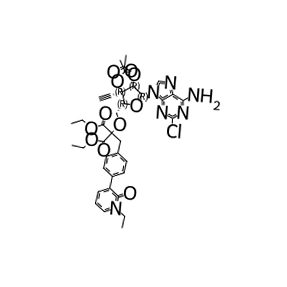 C#C[C@@]1(OC(C)=O)[C@@H](COC(Cc2ccc(-c3cccn(CC)c3=O)cc2)(C(=O)OCC)C(=O)OCC)O[C@@H](n2cnc3c(N)nc(Cl)nc32)[C@@H]1OC(C)=O